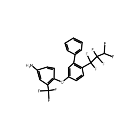 Nc1ccc(Oc2ccc(C(F)(F)C(F)(F)C(F)F)c(-c3ccccc3)c2)c(C(F)(F)F)c1